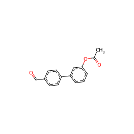 CC(=O)Oc1cccc(-c2ccc(C=O)cc2)c1